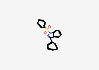 O=S(=O)(c1ccccc1)n1nc(-c2ccccc2)c2ccccc21